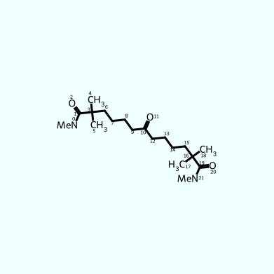 CNC(=O)C(C)(C)CCCCC(=O)CCCCC(C)(C)C(=O)NC